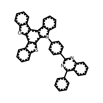 c1ccc(-c2nc(-c3ccc(-n4c5ccccc5c5c6c7ccccc7oc6c6c7ccccc7sc6c54)cc3)nc3ccccc23)cc1